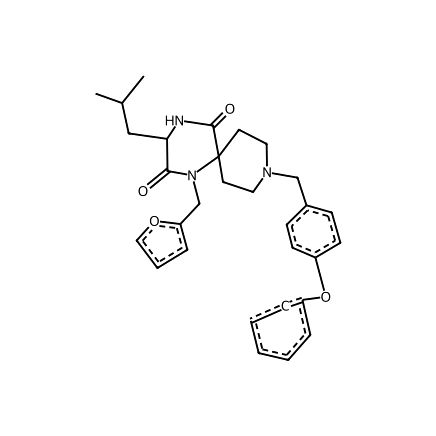 CC(C)CC1NC(=O)C2(CCN(Cc3ccc(Oc4ccccc4)cc3)CC2)N(Cc2ccco2)C1=O